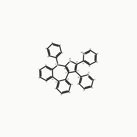 c1ccc(N2c3ccccc3-c3ccccc3-c3c2sc(-c2ccccn2)c3-c2ccccn2)cc1